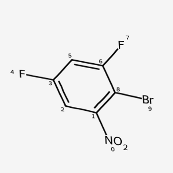 O=[N+]([O-])c1cc(F)cc(F)c1Br